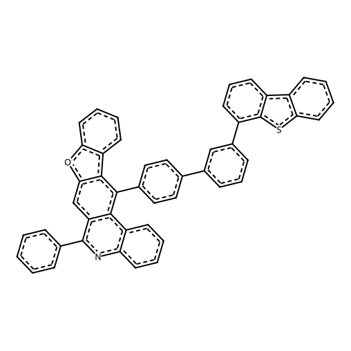 c1ccc(-c2nc3ccccc3c3c(-c4ccc(-c5cccc(-c6cccc7c6sc6ccccc67)c5)cc4)c4c(cc23)oc2ccccc24)cc1